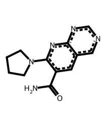 NC(=O)c1cc2cncnc2nc1N1CCCC1